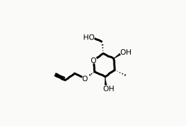 C=CCO[C@@H]1O[C@H](CO)[C@@H](O)[C@H](C)[C@H]1O